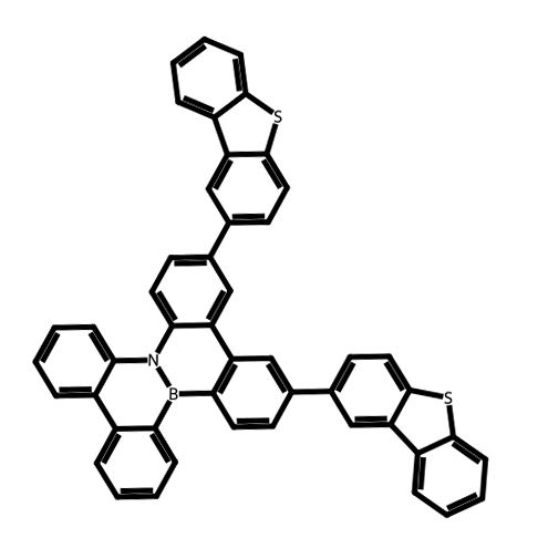 c1ccc2c(c1)B1c3ccc(-c4ccc5sc6ccccc6c5c4)cc3-c3cc(-c4ccc5sc6ccccc6c5c4)ccc3N1c1ccccc1-2